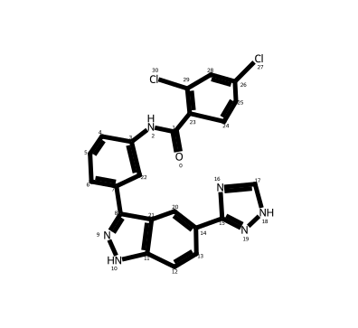 O=C(Nc1cccc(-c2n[nH]c3ccc(-c4nc[nH]n4)cc23)c1)c1ccc(Cl)cc1Cl